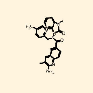 Cc1cc2cc(C(=O)N(Cc3ccc(C(F)(F)F)cn3)n3c(=O)n(C)c4cccnc43)ccc2nc1N